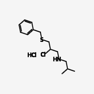 CC(C)CNCC(Cl)CSCc1ccccc1.Cl